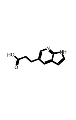 O=C(O)CCc1cnc2[nH]ccc2c1